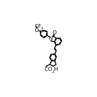 O=C(O)CC1CCc2cc(/C=C/c3cccc4c3CN(c3ccc(OC(F)(F)F)cc3)C4=O)ccc21